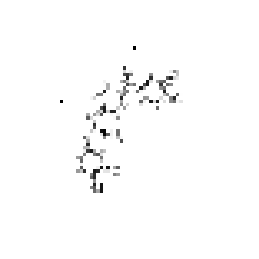 NC(Cc1ccc(Cl)c(Cl)c1)CN1CCC(C(=O)c2ccc(Cl)c(Cl)c2)CC1